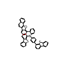 c1ccc(N(c2ccc(-c3cccc4c3sc3ccccc34)cc2)c2cccc3c2sc2ccccc23)c(-c2cccc3c2oc2c4ccccc4ccc32)c1